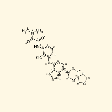 CN(C)C(=O)C(=O)Nc1cccc(Sc2cnc(N3CCC4(CCCC4)CC3)n3ccnc23)c1Cl